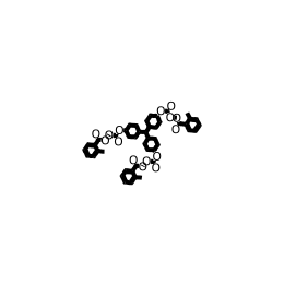 Cc1ccccc1C(=O)OOC(=O)OC1CCC(C(C2CCC(OC(=O)OOC(=O)c3ccccc3C)CC2)C2CCC(OC(=O)OOC(=O)c3ccccc3C)CC2)CC1